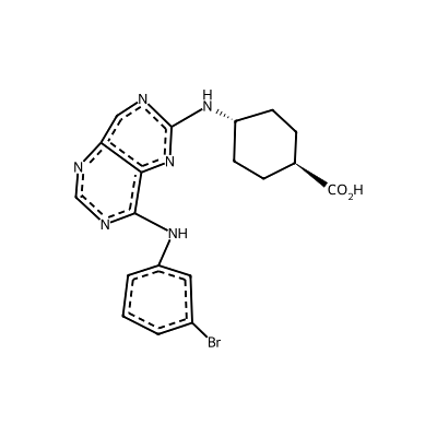 O=C(O)[C@H]1CC[C@H](Nc2ncc3ncnc(Nc4cccc(Br)c4)c3n2)CC1